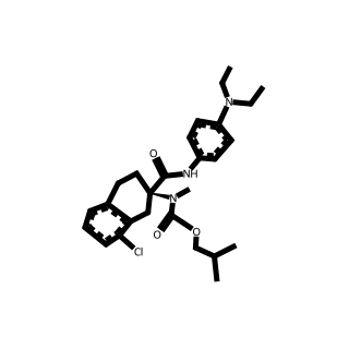 CCN(CC)c1ccc(NC(=O)[C@@]2(N(C)C(=O)OCC(C)C)CCc3cccc(Cl)c3C2)cc1